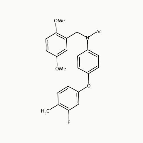 COc1ccc(OC)c(CN(C(C)=O)c2ccc(Oc3ccc(C)c(F)c3)cc2)c1